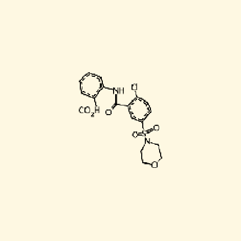 O=C(Nc1ccccc1C(=O)O)c1cc(S(=O)(=O)N2CCOCC2)ccc1Cl